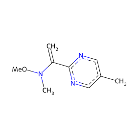 C=C(c1ncc(C)cn1)N(C)OC